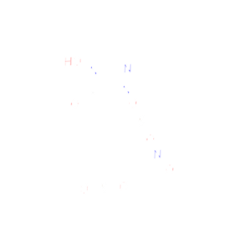 Cc1nnc(-c2ccc(S(C)(=O)=O)c(C3=NOCC3)c2S(C)(=O)=O)c(=O)n1O